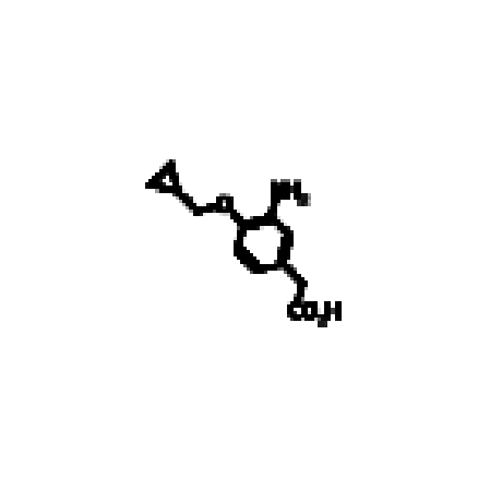 Nc1cc(CC(=O)O)ccc1OCC1CC1